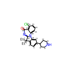 CCC1(CC)c2ccc(C3CCNCC3)cc2-n2c1nc(=O)c1c(Cl)cccc12